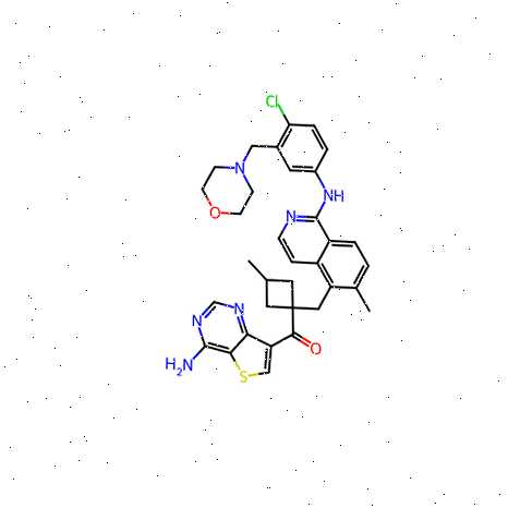 Cc1ccc2c(Nc3ccc(Cl)c(CN4CCOCC4)c3)nccc2c1CC1(C(=O)c2csc3c(N)ncnc23)CC(C)C1